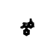 NC(=O)N(c1ccccc1)c1ccnc(F)c1